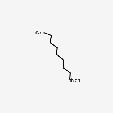 CCCCCCCC[CH]CCCCCCCCCCCCCCCC